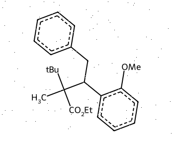 CCOC(=O)C(C)(C(Cc1ccccc1)c1ccccc1OC)C(C)(C)C